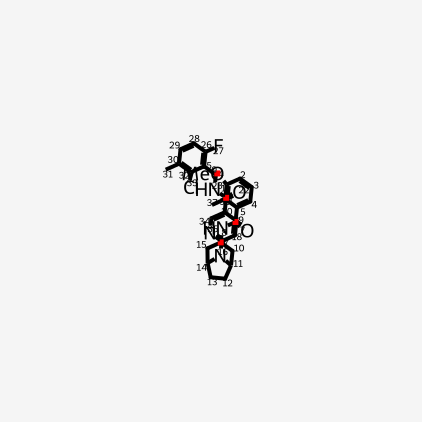 COc1cccc(C(=O)NC2CC3CCC(C2)N3c2ccc(C(=O)NCc3c(F)ccc(C)c3Cl)cn2)c1C